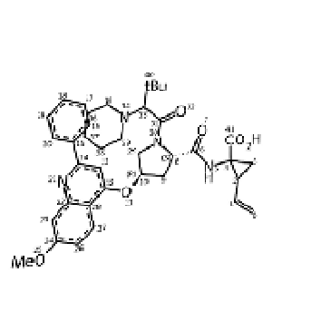 C=CC1CC1(NC(=O)[C@@H]1C[C@@H](Oc2cc(-c3ccccc3)nc3cc(OC)ccc23)CN1C(=O)C(N1CCCCC1)C(C)(C)C)C(=O)O